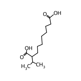 CC(C)C(CCCCCCCC(=O)O)C(=O)O